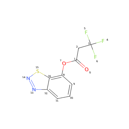 O=C(CC(F)(F)F)Oc1cccc2nnsc12